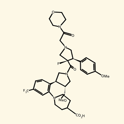 COC[C@H]1CN(C(=O)[C@]2(F)CN(CC(=O)N3CCOCC3)C[C@H]2c2ccc(OC)cc2)C[C@@H]1c1ccc(C(F)(F)F)cc1N1CCC(C(=O)O)CC1